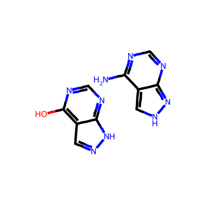 Nc1ncnc2n[nH]cc12.Oc1ncnc2[nH]ncc12